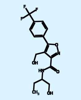 CCC(CO)NC(=O)c1noc(-c2ccc(C(F)(F)F)cc2)c1CO